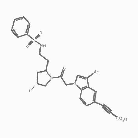 CC(=O)c1cn(CC(=O)N2C[C@H](F)CC2CCNS(=O)(=O)c2ccccc2)c2ccc(C#CC(=O)O)cc12